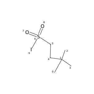 CC(C)(C)CCS(=O)(=O)I